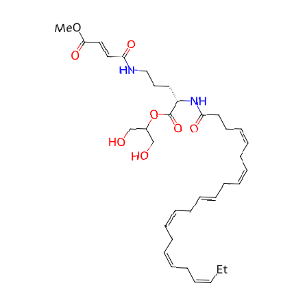 CC/C=C\C/C=C\C/C=C\CC=CC/C=C\C/C=C\CCC(=O)N[C@@H](CCCNC(=O)/C=C/C(=O)OC)C(=O)OC(CO)CO